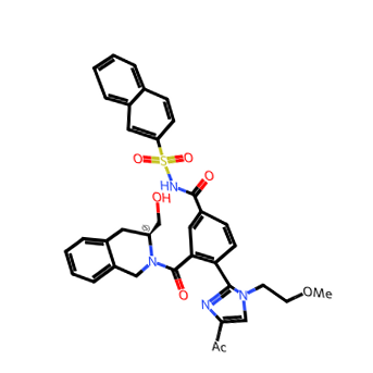 COCCn1cc(C(C)=O)nc1-c1ccc(C(=O)NS(=O)(=O)c2ccc3ccccc3c2)cc1C(=O)N1Cc2ccccc2C[C@H]1CO